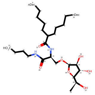 CCCCCCCCCCCCCCC(CCCCCCCCCCCCCC)C(=O)N[C@@H](CO[C@@H]1O[C@H]([C@H](C)O)[C@@H](O)[C@@H]1O)C(=O)NCCCC(=O)O